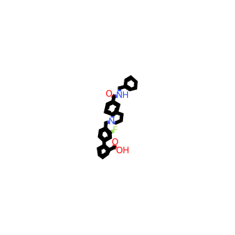 O=C(NCC1=CCCC=C1)c1ccc2c(c1)CCCN2Cc1ccc(-c2ccccc2C(=O)O)cc1F